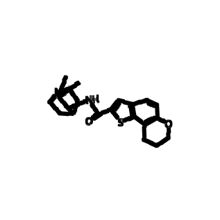 CC1(C)C(NC(=O)c2cc3ccc4c(c3s2)CCCO4)C2CCN1CC2